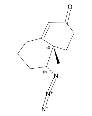 C[C@]12CCC(=O)C=C1CCC[C@H]2N=[N+]=[N-]